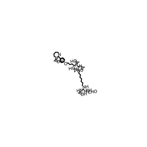 CB(O)/N=C(\N(CCCCCCCCN/C(=N\BC=O)NB(C)O)B(C)O)N(CCCCOc1ccc(C2=NCCCCN2B(C)O)cc1)B(C)O